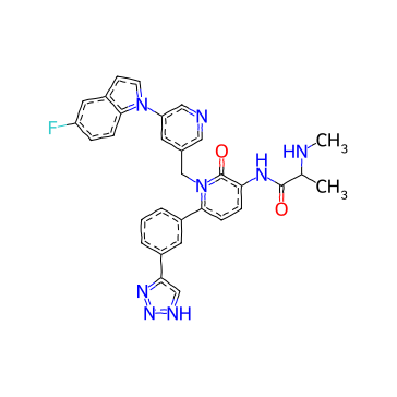 CNC(C)C(=O)Nc1ccc(-c2cccc(-c3c[nH]nn3)c2)n(Cc2cncc(-n3ccc4cc(F)ccc43)c2)c1=O